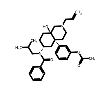 C=CCN1CC[C@@]2(c3cccc(OC(C)=O)c3)C[C@H](N(CC(C)C)C(=O)c3ccccc3)CC[C@]2(O)C1